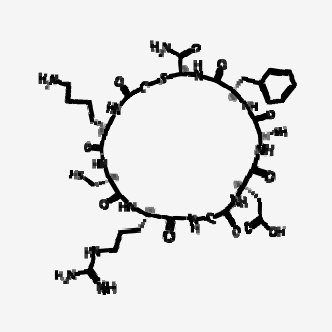 N=C(N)NCCC[C@@H]1NC(=O)[C@H](CS)NC(=O)[C@H](CCCCN)NC(=O)CS[C@@H](C(N)=O)NC(=O)[C@H](Cc2ccccc2)NC(=O)[C@H](S)NC(=O)[C@H](CC(=O)O)NC(=O)CNC1=O